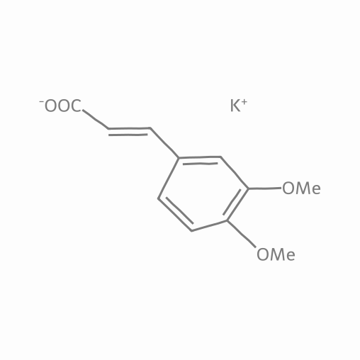 COc1ccc(/C=C/C(=O)[O-])cc1OC.[K+]